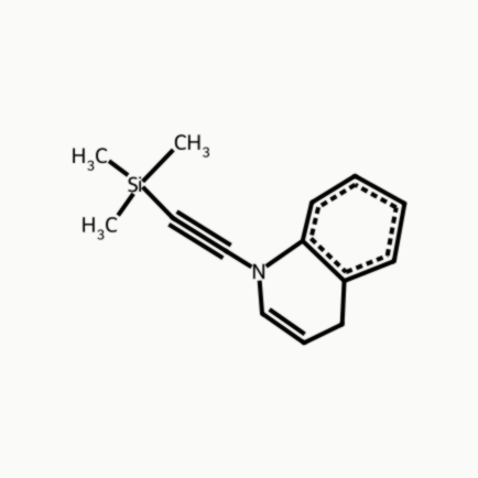 C[Si](C)(C)C#CN1C=CCc2ccccc21